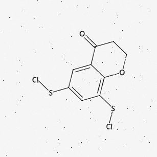 O=C1CCOc2c(SCl)cc(SCl)cc21